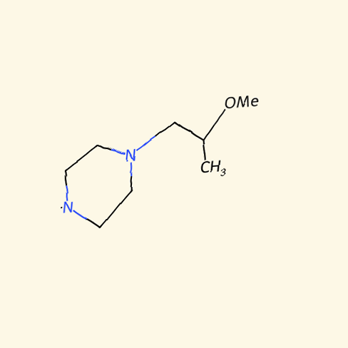 COC(C)CN1CC[N]CC1